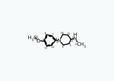 CNC1CCN(c2ccc(OC)cc2)CC1